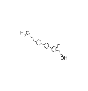 CCCCCC1CCC(c2ccc(-c3ccc(CCCO)c(F)c3)cc2)CC1